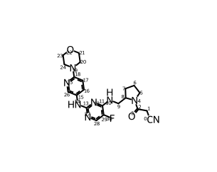 N#CCC(=O)N1CCCC1CNc1nc(Nc2ccc(N3CCOCC3)nc2)ncc1F